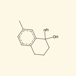 CCCC1(O)CCCc2ccc(C)cc21